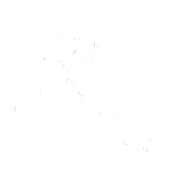 C=C1N(c2cccc(C(=O)OCC)c2)C(NC(=O)Nc2ccc(Oc3ccnc(C(=O)NC)c3)cc2Cl)=C[C@]1(C)C(C)(C)C